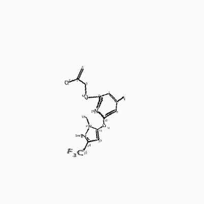 C=C(Cl)COc1cc(C)cc(Oc2cc(C(F)(F)F)nn2C)n1